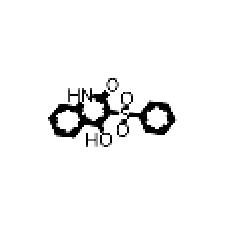 O=c1[nH]c2ccccc2c(O)c1S(=O)(=O)c1ccccc1